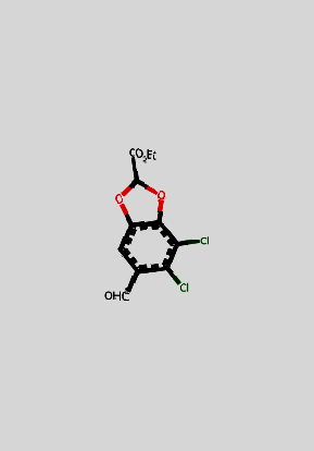 CCOC(=O)C1Oc2cc(C=O)c(Cl)c(Cl)c2O1